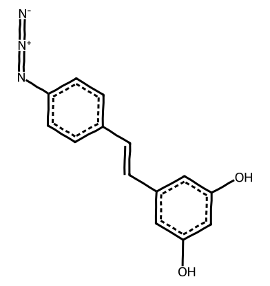 [N-]=[N+]=Nc1ccc(C=Cc2cc(O)cc(O)c2)cc1